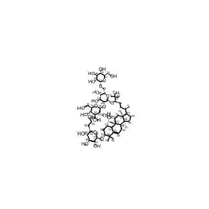 C[C@H](CC[C@@H](O[C@@H]1O[C@H](CO[C@@H]2O[C@H](CO)[C@@H](O)[C@H](O)[C@H]2O)[C@@H](O)[C@H](O)[C@H]1O[C@@H]1O[C@H](CO)[C@@H](O)[C@H](O)[C@H]1O)C(C)(C)O)C1CC[C@@]2(C)C3CC=C4C(CC[C@H](O[C@@H]5O[C@H](CCO)[C@@H](O)[C@H](O)[C@H]5O)C4(C)C)[C@]3(C)[C@H](O)C[C@]12C